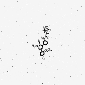 COCOc1cc(Cl)ccc1-c1cc(-c2cccc(NC(=O)CC(C)N(C(=O)O)C(C)(C)C)c2)c(C#N)c(N)n1